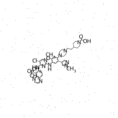 COc1cc(N2CCN(CCC3CCN(C(=O)O)CC3)CC2)c(-c2cnn(C)c2)cc1Nc1ncc(Cl)c(Nc2ccc3nccnc3c2P(C)(C)=O)n1